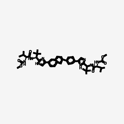 COC(=O)N[C@@H](C(=O)NC(c1ncc(-c2ccc(-c3ccc4cc(-c5c[nH]c([C@@H](NC(=O)[C@H](NC(=O)OC)C(C)C)C(C)(C)C)n5)ccc4c3)cc2)[nH]1)C(C)(C)C)C(C)C